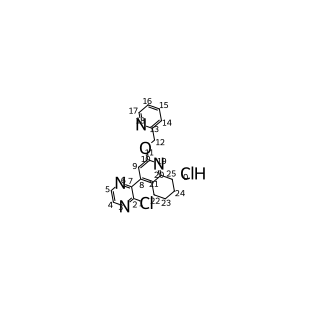 Cl.Clc1nccnc1-c1cc(OCc2ccccn2)nc2c1CCCC2